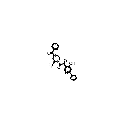 C[C@@H]1CN(C(=O)c2ccccc2)CCN1C(=O)C(=O)c1cnc(-c2cccs2)cc1O